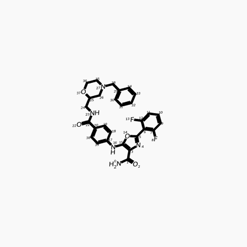 NC(=O)c1nc(-c2c(F)cccc2F)oc1Nc1ccc(C(=O)NCC2CN(Cc3ccccc3)CCO2)cc1